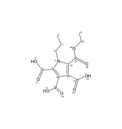 CCCn1c(C(=O)O)c(C(=O)O)c(C(=O)O)c1C(=O)OCC